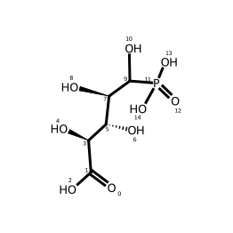 O=C(O)[C@@H](O)[C@@H](O)[C@@H](O)C(O)P(=O)(O)O